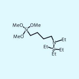 CCN(CCCC[Si](OC)(OC)OC)[Si](CC)(CC)CC